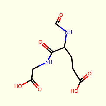 O=CNC(CCC(=O)O)C(=O)NCC(=O)O